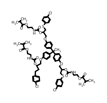 C=C(C)C(=O)OCCNC(=O)OC(CCc1ccc(Cl)cc1)COc1ccc(C(C)(c2ccc(OCC(CSc3ccc(Cl)cc3)OC(=O)NCCOC(=O)C(=C)C)cc2)c2ccc(OCC(CSc3ccc(Cl)cc3)OC(=O)NCCOC(=O)C(=C)C)cc2)cc1